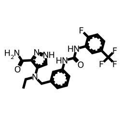 CCN(Cc1cccc(NC(=O)Nc2cc(C(F)(F)F)ccc2F)c1)c1c[nH]nc1C(N)=O